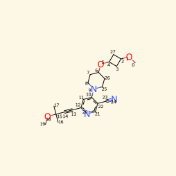 COC1CC(OC2CCN(c3cc(C#CC(C)(C)OC)ncc3C#N)CC2)C1